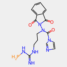 N=C(NP)NCCCN(C(=O)n1ccnc1)N1C(=O)c2ccccc2C1=O